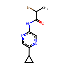 CC(Br)C(=O)Nc1cnc(C2CC2)cn1